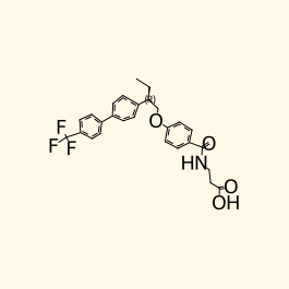 CC[C@@H](COc1ccc(C(=O)NCCC(=O)O)cc1)c1ccc(-c2ccc(C(F)(F)F)cc2)cc1